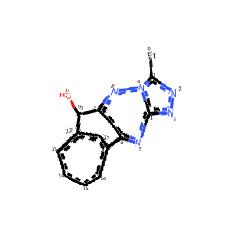 CCc1nnc2nc3c(nn12)C(O)c1ccccc1-3